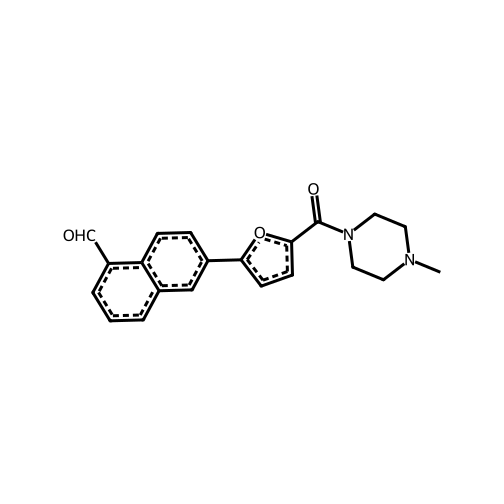 CN1CCN(C(=O)c2ccc(-c3ccc4c(C=O)cccc4c3)o2)CC1